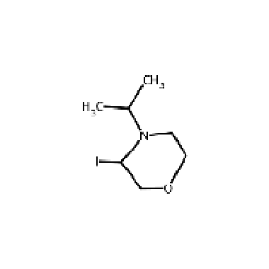 CC(C)N1CCOCC1I